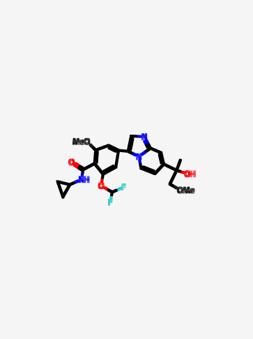 COCC(C)(O)c1ccn2c(-c3cc(OC)c(C(=O)NC4CC4)c(OC(F)F)c3)cnc2c1